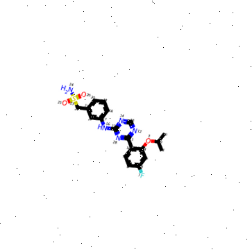 CC(C)Oc1cc(F)ccc1-c1ncnc(Nc2cccc(CS(N)(=O)=O)c2)n1